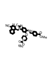 COC(=O)c1ccc(CNc2cc3nc(C)n(Cc4ccc(C#N)c5ccccc45)c3cc2OC2CCN(C(=O)OC(C)(C)C)CC2)cc1